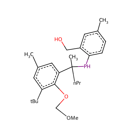 CCCC(C)(Pc1ccc(C)cc1CO)c1cc(C)cc(C(C)(C)C)c1OCOC